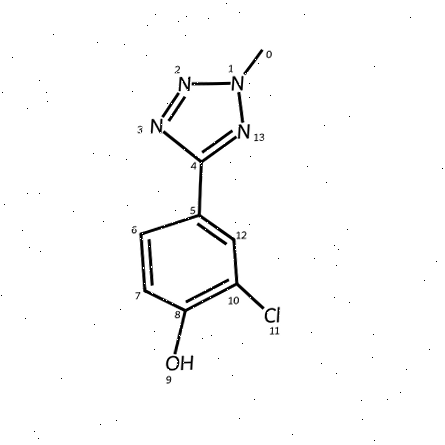 Cn1nnc(-c2ccc(O)c(Cl)c2)n1